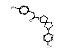 CC(C)c1ccc(CC(=O)N2CCC3(CCN(c4ccc(C#N)nn4)C3)C2)cc1